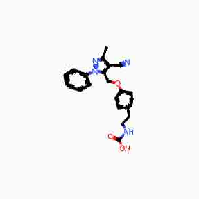 Cc1nn(-c2ccccc2)c(COc2ccc(CCNC(=O)O)cc2)c1C#N